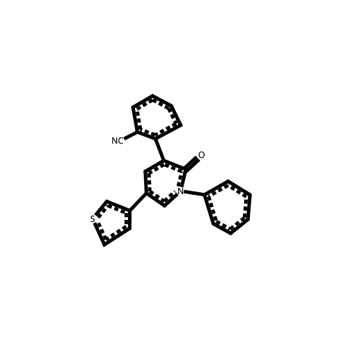 N#Cc1ccccc1-c1cc(-c2ccsc2)cn(-c2ccccc2)c1=O